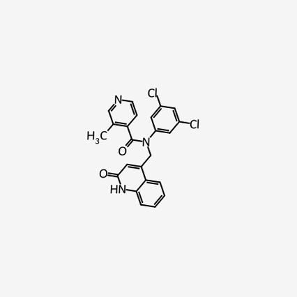 Cc1cnccc1C(=O)N(Cc1cc(=O)[nH]c2ccccc12)c1cc(Cl)cc(Cl)c1